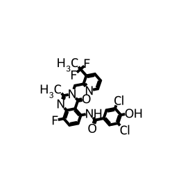 Cc1nc2c(F)ccc(NC(=O)c3cc(Cl)c(O)c(Cl)c3)c2c(=O)n1Cc1ncccc1C(C)(F)F